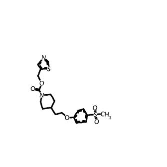 CS(=O)(=O)c1ccc(OCCC2CCN(C(=O)OCc3cncs3)CC2)cc1